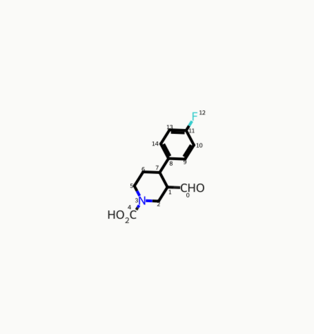 O=CC1CN(C(=O)O)CCC1c1ccc(F)cc1